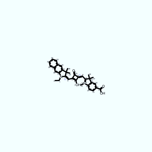 CCN1/C(=C/C2=C(O)C(=C\C3=[N+](C)c4ccc(C(=O)O)cc4C3(C)C)/C2=O)C(C)(C)c2cc3ccccc3cc21